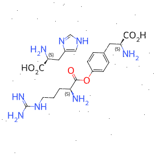 N=C(N)NCCC[C@H](N)C(=O)Oc1ccc(C[C@H](N)C(=O)O)cc1.N[C@@H](Cc1c[nH]cn1)C(=O)O